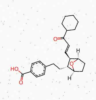 O=C(O)c1ccc(CC[C@@H]2[C@@H](/C=C/C(=O)C3CCCCC3)[C@H]3CC[C@@H]2O3)cc1